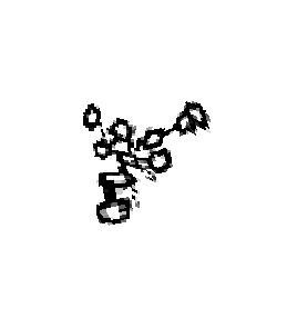 c1ccc(-n2c3ccccc3c3c(N(c4ccc(-c5ccc6ccccc6c5)cc4)c4ccc(-c5ccc6c(c5)sc5ccccc56)c5sc6ccccc6c45)cccc32)cc1